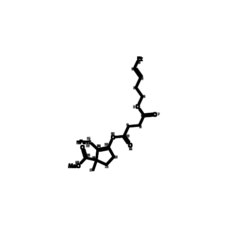 CCC=CCCOC(=O)CCC(=O)OC1=C(CCCCC)C(C)(C(=O)OC)CC1